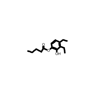 CCCCC(=O)Oc1ccc(CC)c(CC)c1O